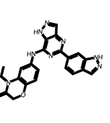 CCN1C(=O)COc2ccc(Nc3nc(-c4ccc5cn[nH]c5c4)nc4cn[nH]c34)cc21